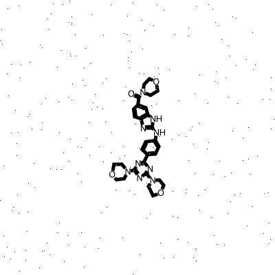 O=C(c1ccc2nc(Nc3ccc(-c4nc(N5CCOCC5)nc(N5CCOCC5)n4)cc3)[nH]c2c1)N1CCOCC1